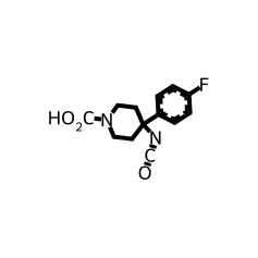 O=C=NC1(c2ccc(F)cc2)CCN(C(=O)O)CC1